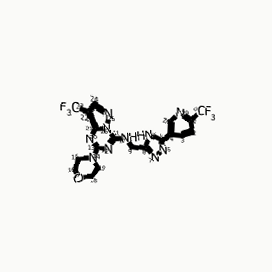 FC(F)(F)c1ccc(-c2nnc(CNc3nc(N4CCOCC4)nc4c(C(F)(F)F)cnn34)[nH]2)cn1